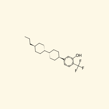 CCC[C@H]1CC[C@H]([C@H]2CC[C@H](c3ccc(C(F)(F)F)c(O)c3)CC2)CC1